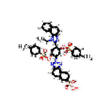 CCn1c(-c2cc(OS(=O)(=O)c3ccc(C)cc3)c(-n3nc4ccc5cc(S(=O)(=O)O)ccc5c4n3)cc2OS(=O)(=O)c2ccc(C)cc2)nc2ccc3ccccc3c21